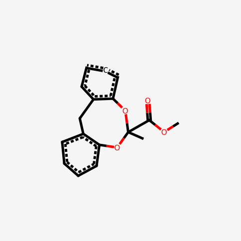 COC(=O)C1(C)Oc2ccccc2Cc2ccccc2O1